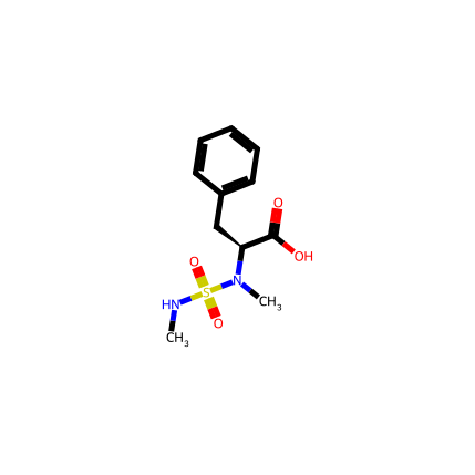 CNS(=O)(=O)N(C)[C@@H](Cc1ccccc1)C(=O)O